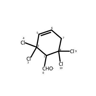 O=[C]C1C(Cl)(Cl)C=CCC1(Cl)Cl